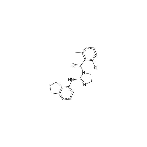 Cc1cccc(Cl)c1C(=O)N1CCN=C1Nc1cccc2c1CCC2